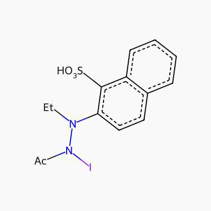 CCN(c1ccc2ccccc2c1S(=O)(=O)O)N(I)C(C)=O